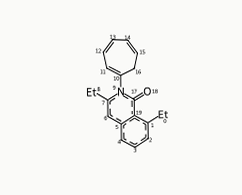 CCc1cccc2cc(CC)n(C3=CC=CC=CC3)c(=O)c12